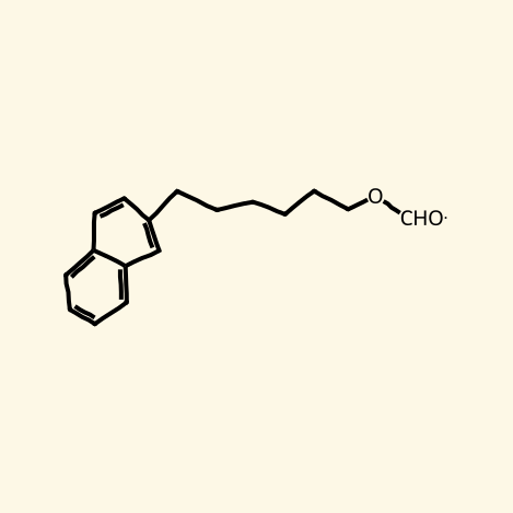 O=[C]OCCCCCCc1ccc2ccccc2c1